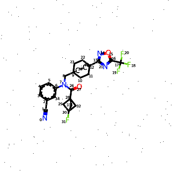 N#Cc1cccc(N(CC23CCC(c4noc(C(F)(F)F)n4)(CC2)CC3)C(=O)C23CC(F)(C2)C3)c1